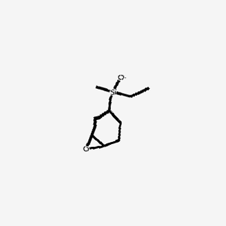 CC[Si](C)([O])C1CCC2OC2C1